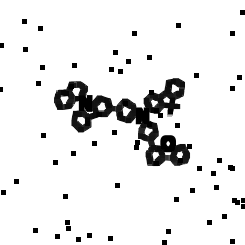 CC1(C)c2ccccc2-c2ccc(N(c3ccc(-c4ccc5c(c4)c4ccccc4n5-c4cccc5ccccc45)cc3)c3ccc(-c4cccc5c4oc4ccccc45)cc3)cc21